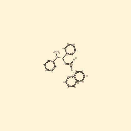 NC(c1ccccc1)[C@@H](N=S(=O)=O)c1ccccc1.c1ccc2ccccc2c1